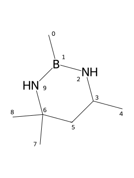 CB1NC(C)CC(C)(C)N1